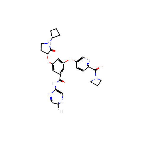 Cc1cnc(NC(=O)c2cc(Oc3ccc(C(=O)N4CCC4)nc3)cc(O[C@H]3CCN(C4CCC4)C3=O)c2)cn1